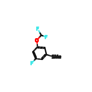 CSc1cc(F)cc(OC(F)F)c1